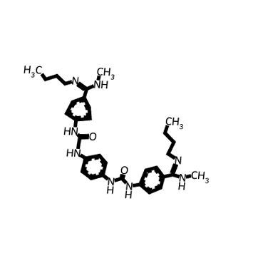 CCCC/N=C(/NC)c1ccc(NC(=O)Nc2ccc(NC(=O)Nc3ccc(/C(=N\CCCC)NC)cc3)cc2)cc1